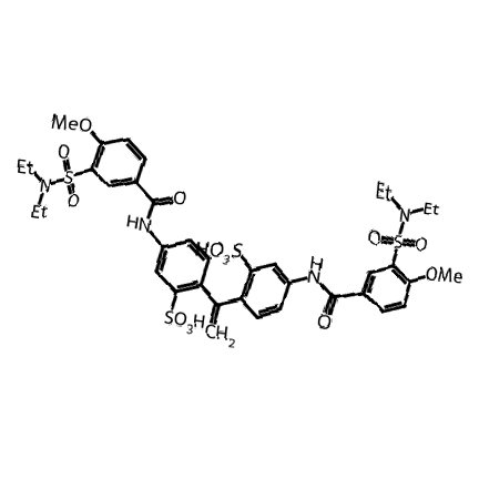 C=C(c1ccc(NC(=O)c2ccc(OC)c(S(=O)(=O)N(CC)CC)c2)cc1S(=O)(=O)O)c1ccc(NC(=O)c2ccc(OC)c(S(=O)(=O)N(CC)CC)c2)cc1S(=O)(=O)O